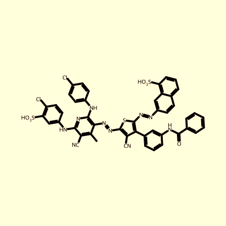 Cc1c(C#N)c(Nc2ccc(Cl)c(S(=O)(=O)O)c2)nc(Nc2ccc(Cl)cc2)c1N=Nc1sc(N=Nc2ccc3cccc(S(=O)(=O)O)c3c2)c(-c2cccc(NC(=O)c3ccccc3)c2)c1C#N